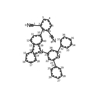 N#Cc1cccc(C#N)c1-c1ccc2c3ccccc3n(-c3cc(-c4ccccc4)nc(-c4ccccc4)c3)c2c1